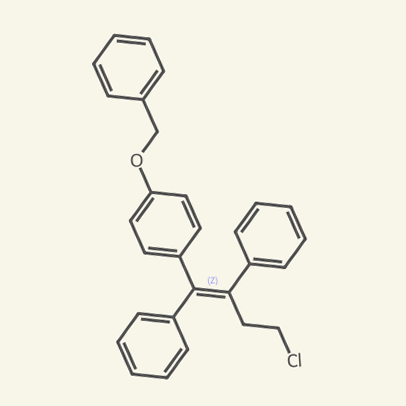 ClCC/C(=C(\c1ccccc1)c1ccc(OCc2ccccc2)cc1)c1ccccc1